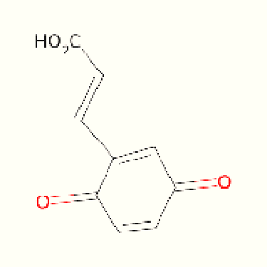 O=C(O)C=CC1=CC(=O)C=CC1=O